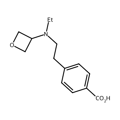 CCN(CCc1ccc(C(=O)O)cc1)C1COC1